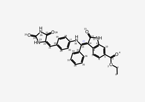 CCOC(=O)c1ccc2c(c1)NC(=O)/C2=C(\Nc1ccc(C=C2NC(=O)NC2=O)cc1)c1ccccc1